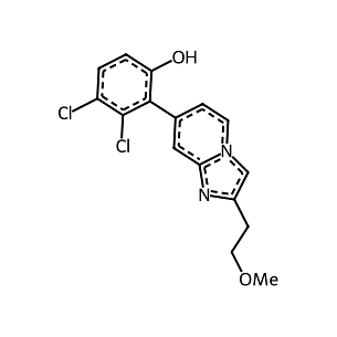 COCCc1cn2ccc(-c3c(O)ccc(Cl)c3Cl)cc2n1